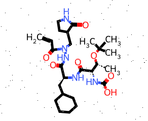 C=CC(=O)N(CC1CCNC1=O)NC(=O)[C@H](CC1CCCCC1)NC(=O)[C@@H](NC(=O)O)[C@@H](C)OC(C)(C)C